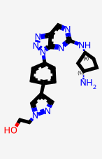 N[C@H]1CC[C@@H](Nc2ncc3nnn(-c4ccc(-c5cnn(CCO)c5)cc4)c3n2)C1